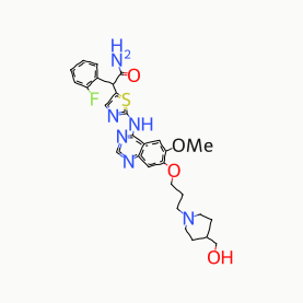 COc1cc2c(Nc3ncc(C(C(N)=O)c4ccccc4F)s3)ncnc2cc1OCCCN1CCC(CO)CC1